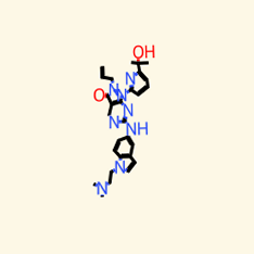 C=CCn1c(=O)c2cnc(Nc3ccc4c(ccn4CCN(C)C)c3)nc2n1-c1cccc(C(C)(C)O)n1